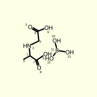 CC(NCC(=O)O)C(=O)O.OB(O)O